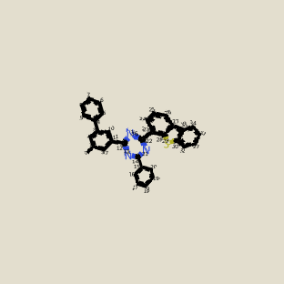 Cc1cc(-c2ccccc2)cc(-c2nc(-c3ccccc3)nc(-c3cccc4c3sc3ccccc34)n2)c1